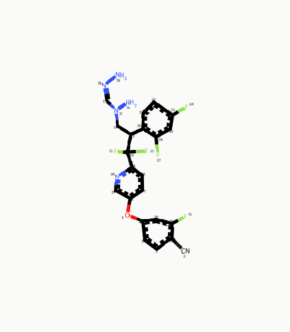 N#Cc1ccc(Oc2ccc(C(F)(F)C(CN(N)/C=N\N)c3ccc(F)cc3F)nc2)cc1F